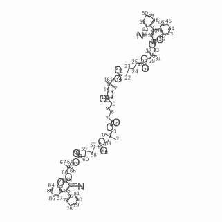 CC(C)(COC(=O)CCCCC(=O)OCC(C)(C)COC(=O)CCCCC(=O)OCC(C)(C)COC(=O)C(C#N)=C(c1ccccc1)c1ccccc1)COC(=O)CCCCC(=O)OCC(C)(C)COC(=O)C(C#N)=C(c1ccccc1)c1ccccc1